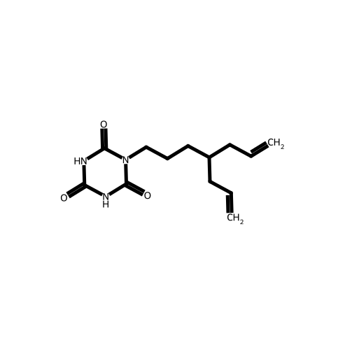 C=CCC(CC=C)CCCn1c(=O)[nH]c(=O)[nH]c1=O